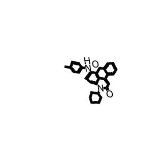 Cc1ccc(Nc2ccc3c4c(cc(=O)n3C3CCCCC3)-c3ccccc3C(=O)c24)cc1